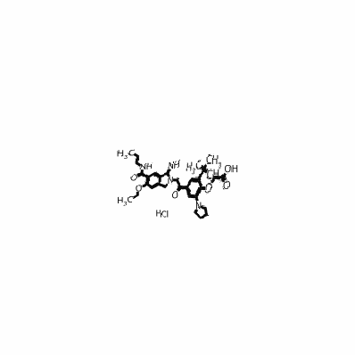 CCCNC(=O)c1cc2c(cc1OCC)CN(CC(=O)c1cc(N3CCCC3)c(OCC(=O)O)c(C(C)(C)C)c1)C2=N.Cl